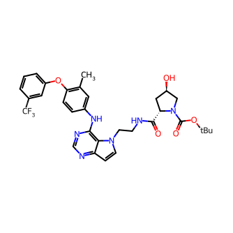 Cc1cc(Nc2ncnc3ccn(CCNC(=O)[C@@H]4C[C@@H](O)CN4C(=O)OC(C)(C)C)c23)ccc1Oc1cccc(C(F)(F)F)c1